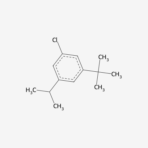 CC(C)c1cc(Cl)cc(C(C)(C)C)c1